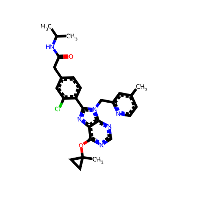 Cc1ccnc(Cn2c(-c3ccc(CC(=O)NC(C)C)cc3Cl)nc3c(OC4(C)CC4)ncnc32)c1